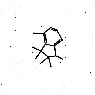 C[C]1c2cccc(C)c2C(C)(C)C1(C)C